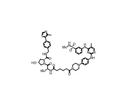 Cc1cnc(Nc2ccc(N3CCN(C(=O)CCCCC(=O)N[C@H](C(=O)N4C[C@H](O)C[C@H]4C(=O)NCc4ccc(-c5scnc5C)cc4)C(C)(C)C)CC3)cc2)nc1Nc1cccc(S(=O)(=O)NC(C)(C)C)c1